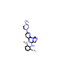 Cc1cccc(C)c1Nc1nc2ccc(N3CCN(C)CC3)nc2n2cncc12